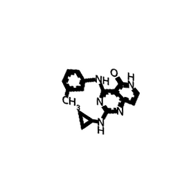 Cc1cccc(Nc2nc(NC3CC3)nc3cc[nH]c(=O)c23)c1